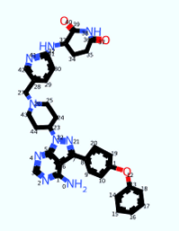 Nc1ncnc2c1c(-c1ccc(Oc3ccccc3)cc1)nn2C1CCN(Cc2ccc(NC3CCC(=O)NC3=O)nc2)CC1